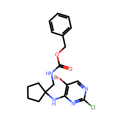 O=C(NCC1(Nc2nc(Cl)ncc2Br)CCCC1)OCc1ccccc1